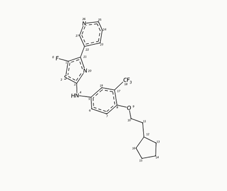 Fc1sc(Nc2ccc(OCCC3CCCC3)c(C(F)(F)F)c2)nc1-c1cccnc1